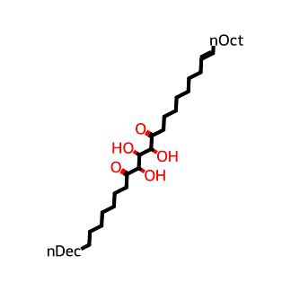 CCCCCCCCC=CCCCCCCCC(=O)C(O)C(O)C(O)C(=O)CCCCCCCCCCCCCCCCC